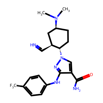 CN(C)[C@H]1CC[C@H](n2cc(C(N)=O)c(Nc3ccc(C(F)(F)F)cc3)n2)[C@@H](C=N)C1